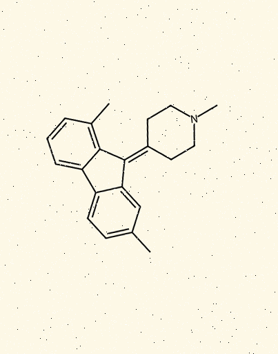 Cc1ccc2c(c1)C(=C1CCN(C)CC1)c1c(C)cccc1-2